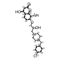 CCCc1c(OCC(O)CN2CCN(Cc3ccc(Cl)cc3)CC2)ccc2c(O)cc(=O)oc12